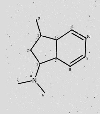 CC1CC(N(C)C)C2C=CC=CC12